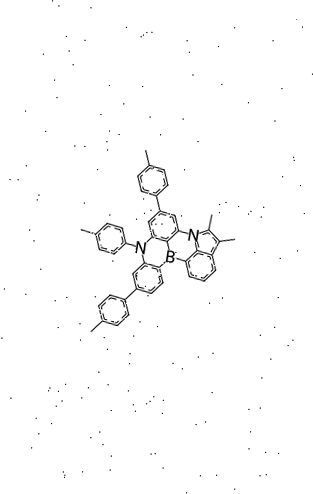 Cc1ccc(-c2ccc3c(c2)N(c2ccc(C)cc2)c2cc(-c4ccc(C)cc4)cc4c2B3c2cccc3c(C)c(C)n-4c23)cc1